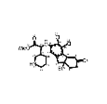 CCC12CCC(=O)C=C1c1c(cc(OC(C(=O)OC)C3CCCNC3)c(Cl)c1Cl)C2